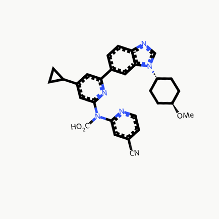 CO[C@H]1CC[C@H](n2cnc3ccc(-c4cc(C5CC5)cc(N(C(=O)O)c5cc(C#N)ccn5)n4)cc32)CC1